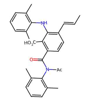 CC=Cc1ccc(C(=O)N(C(C)=O)c2c(C)cccc2C)c(C(=O)O)c1Nc1c(C)cccc1C